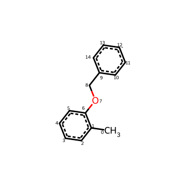 Cc1ccccc1OCc1cc[c]cc1